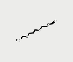 CCOCCCOCCO[C]=O